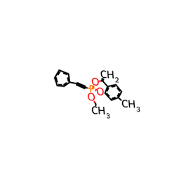 C=C(OP(=O)(C#Cc1ccccc1)OCC)c1ccc(C)cc1